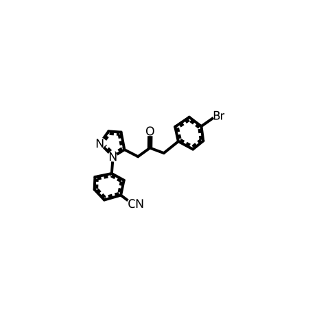 N#Cc1cccc(-n2nccc2CC(=O)Cc2ccc(Br)cc2)c1